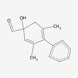 CC1=CC(O)(C=O)CC(C)=C1c1ccccc1